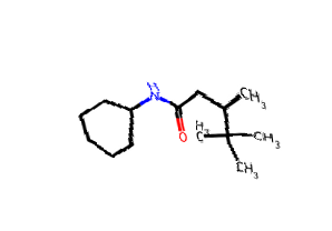 CC(CC(=O)NC1CCCCC1)C(C)(C)C